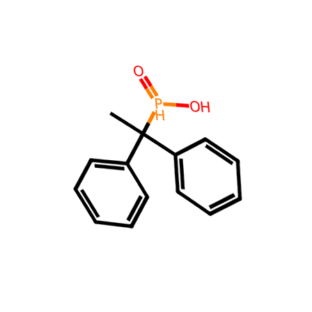 CC(c1ccccc1)(c1ccccc1)[PH](=O)O